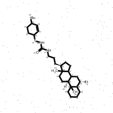 CC[C@H]1CC2C3CC[C@H](CCCNC(=O)NSC4C=CC(C(C)(C)C)CC4)C3(C)CC[C@@H]2C2(C)CCCCC12